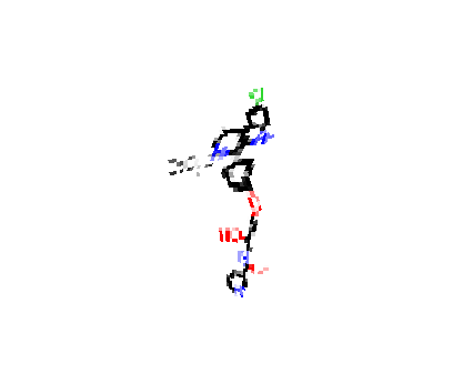 CCOC(=O)N1CCC2=C(NC3C=CC(Cl)=CC23)[C@@H]1c1ccc(OCCC(O)CNC(=O)c2cccnc2)cc1